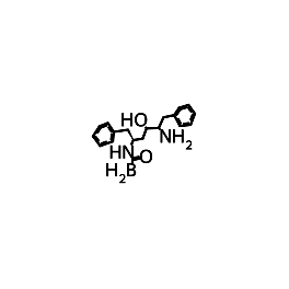 BC(=O)N[C@@H](Cc1ccccc1)C[C@H](O)[C@@H](N)Cc1ccccc1